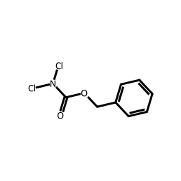 O=C(OCc1ccccc1)N(Cl)Cl